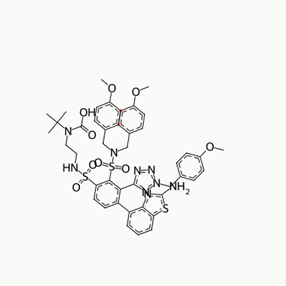 COc1ccc(CN(Cc2ccc(OC)cc2)S(=O)(=O)c2c(S(=O)(=O)NCCN(C(=O)O)C(C)(C)C)ccc(-c3cccc4sc(N)nc34)c2-c2nnn(Cc3ccc(OC)cc3)n2)cc1